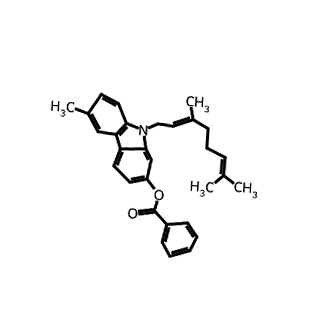 CC(C)=CCC/C(C)=C/Cn1c2ccc(C)cc2c2ccc(OC(=O)c3ccccc3)cc21